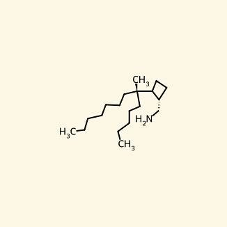 CCCCCCC[C@@](C)(CCCCC)C1CC[C@@H]1CN